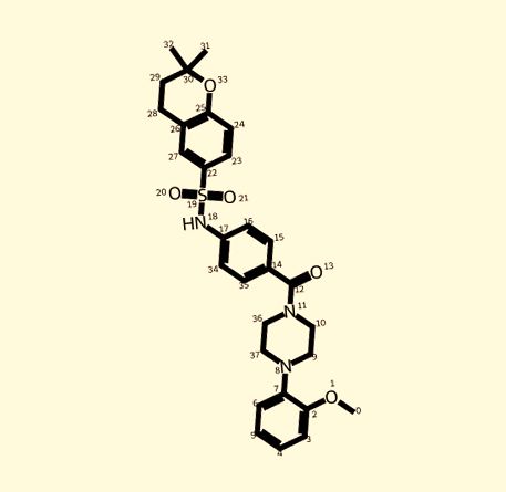 COc1ccccc1N1CCN(C(=O)c2ccc(NS(=O)(=O)c3ccc4c(c3)CCC(C)(C)O4)cc2)CC1